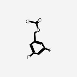 O=C(Cl)OCc1cc(F)cc(F)c1